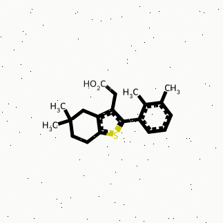 Cc1cccc(-c2sc3c(c2CC(=O)O)CC(C)(C)CC3)c1C